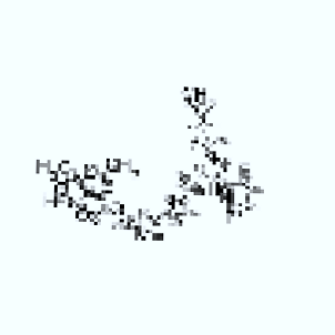 CCOC1CCC(n2cc(NC(=O)c3csc(-c4cnn(COC(=O)[C@H](OC(C)=O)[C@@H](OC(C)=O)C(=O)O)c4)n3)c(-c3nc(F)ccc3F)n2)CC1